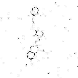 Cc1nc(N)ccc1CNCCn1c(Cl)cnc(NCCc2ccccn2)c1=O